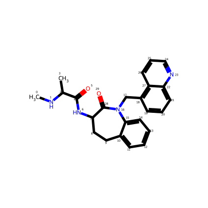 CNC(C)C(=O)NC1CCc2ccccc2N(Cc2cccc3ncccc23)C1=O